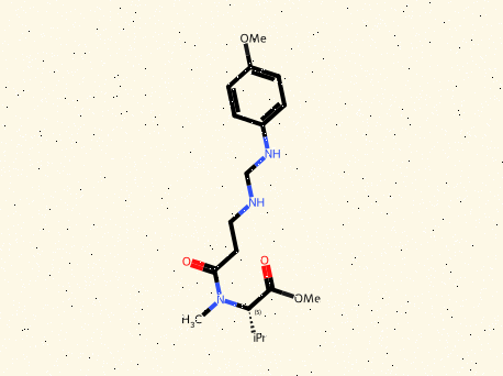 COC(=O)[C@H](C(C)C)N(C)C(=O)CCNCNc1ccc(OC)cc1